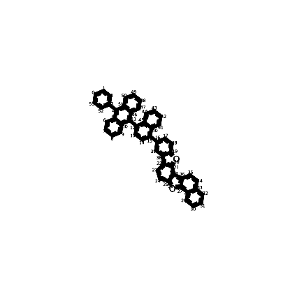 c1ccc(-c2c3ccccc3c(-c3ccc(-c4ccc5oc6c(ccc7oc8c9ccccc9ccc8c76)c5c4)c4ccccc34)c3ccccc23)cc1